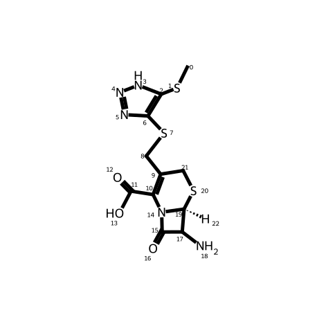 CSc1[nH]nnc1SCC1=C(C(=O)O)N2C(=O)C(N)[C@@H]2SC1